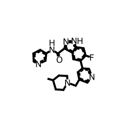 CC1CCN(Cc2cncc(-c3cc4c(C(=O)Nc5cccnc5)n[nH]c4cc3F)c2)CC1